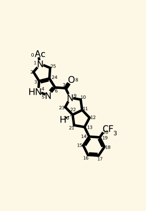 CC(=O)N1Cc2[nH]nc(C(=O)N3CC4CC(c5ccccc5C(F)(F)F)C[C@H]4C3)c2C1